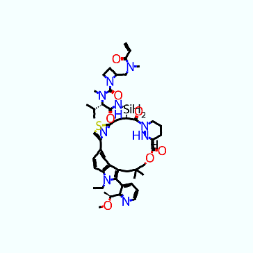 C=CC(=O)N(C)CC1CCN1C(=O)N(C)[C@H](C(=O)N[SiH2][C@H]1Cc2nc(cs2)-c2ccc3c(c2)c(c(-c2cccnc2[C@H](C)OC)n3CC)CC(C)(C)COC(=O)[C@@H]2CCCN(N2)C1=O)C(C)C